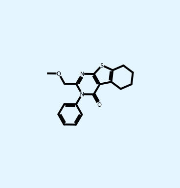 COCc1nc2sc3c(c2c(=O)n1-c1ccccc1)CCCC3